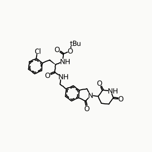 CC(C)(C)OC(=O)N[C@H](Cc1ccccc1Cl)C(=O)NCc1ccc2c(c1)CN(C1CCC(=O)NC1=O)C2=O